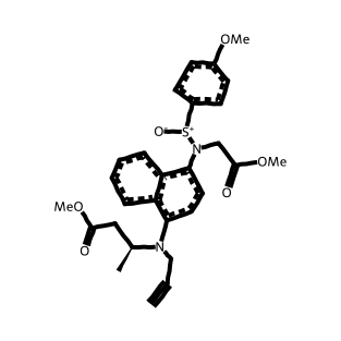 C#CCN(c1ccc(N(CC(=O)OC)[S+]([O-])c2ccc(OC)cc2)c2ccccc12)[C@@H](C)CC(=O)OC